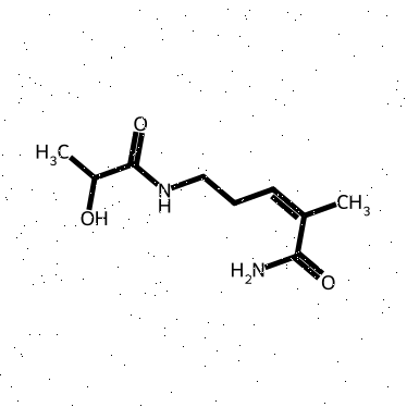 CC(=CCCNC(=O)C(C)O)C(N)=O